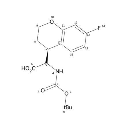 CC(C)(C)OC(=O)NC(C(=O)O)[C@H]1CCOc2cc(F)ccc21